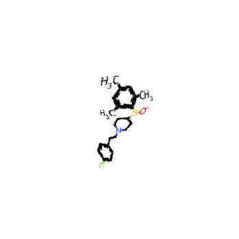 Cc1cc(C)c([S+]([O-])C2CCN(CCc3ccc(F)cc3)CC2)c(C)c1